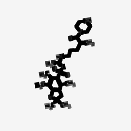 C=C(CCCN/C(N)=N/S(=O)(=O)c1c(C)c(C)c2c(c1C)CC(C)(C)O2)C(=O)N1CCNCC1